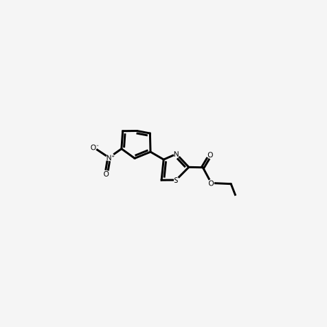 CCOC(=O)c1nc(-c2cccc([N+](=O)[O-])c2)cs1